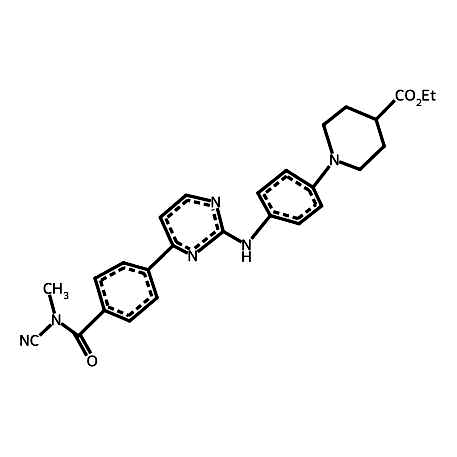 CCOC(=O)C1CCN(c2ccc(Nc3nccc(-c4ccc(C(=O)N(C)C#N)cc4)n3)cc2)CC1